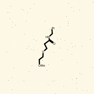 COCCOCCC(=O)NCC(C)C